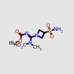 CN(C(=O)O)C(=NC(=O)OC(C)(C)C)N1CC(S(N)(=O)=O)C1